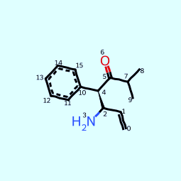 C=CC(N)[C@H](C(=O)C(C)C)c1ccccc1